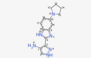 Nc1c[nH]nc1-c1nc2cc(N3CCCC3)ccc2[nH]1